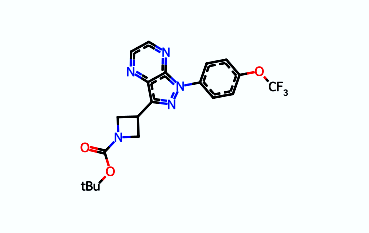 CC(C)(C)OC(=O)N1CC(c2nn(-c3ccc(OC(F)(F)F)cc3)c3nccnc23)C1